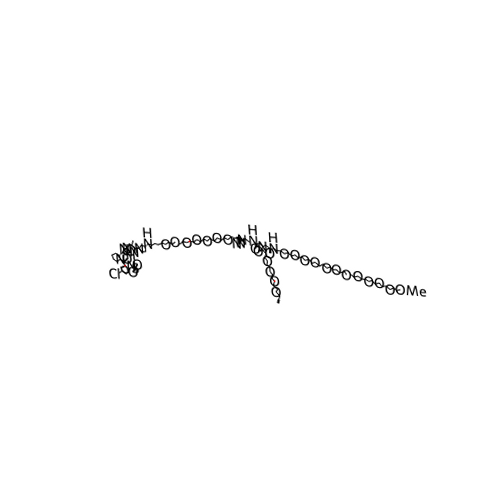 C#CCOCCOCCOCCOCCC(=O)N(CC(=O)NCCOCCOCCOCCOCCOCCOCCOCCOCCOCCOCCOCCOC)CC(=O)NCCn1cc(COCCOCCOCCOCCOCCOCCOCCCCN[C@H]2CCN(c3nc4cc([C@@H]5CCCCN5C(=O)c5cc(Cl)ccc5NS(C)(=O)=O)nn4cc3C)C2)nn1